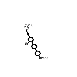 CCCCCC1CCC(c2ccc(C3=CC=C(C#CCO[Si](C)(C)C(C)(C)C)CC3CC)cc2)CC1